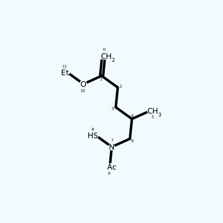 C=C(CCC(C)CN(S)C(C)=O)OCC